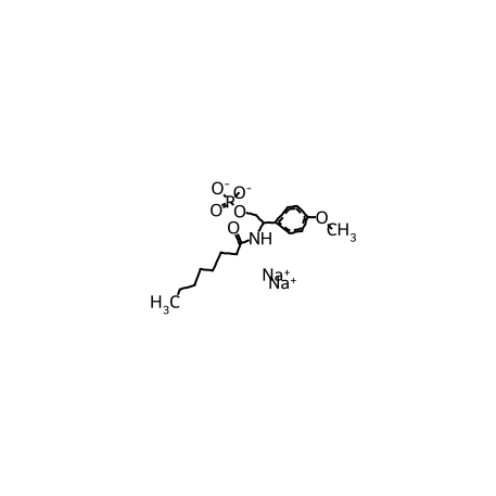 CCCCCCCC(=O)NC(COP(=O)([O-])[O-])c1ccc(OC)cc1.[Na+].[Na+]